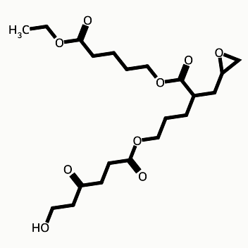 CCOC(=O)CCCCOC(=O)C(CCCOC(=O)CCC(=O)CCO)CC1CO1